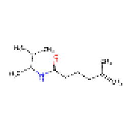 C=C(C)CCCC(=O)NC(C)C(C)C